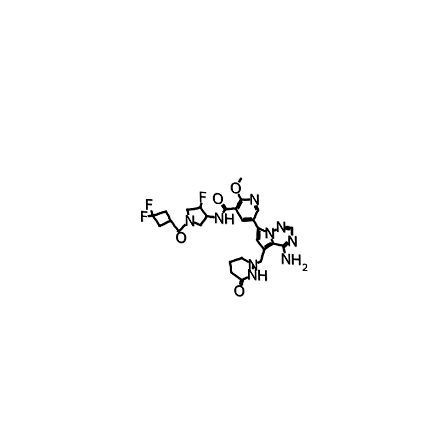 COc1ncc(-c2cc(CN3CCCC(=O)N3)c3c(N)ncnn23)cc1C(=O)NC1CN(C(=O)C2CC(F)(F)C2)CC1F